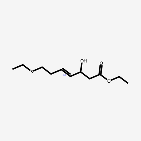 CCOC(=O)CC(O)/C=C/CCSCC